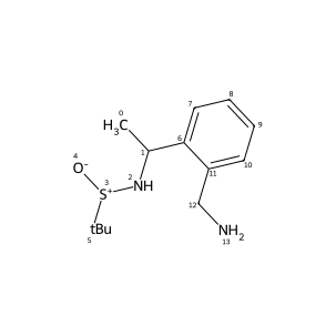 CC(N[S+]([O-])C(C)(C)C)c1ccccc1CN